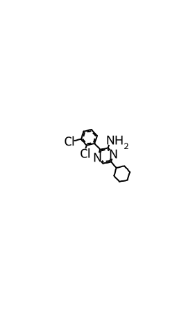 Nc1nc(C2CCCCC2)cnc1-c1cccc(Cl)c1Cl